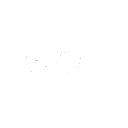 CCC1CN(C(=O)C2(C)CC2)CCC1C(C)C